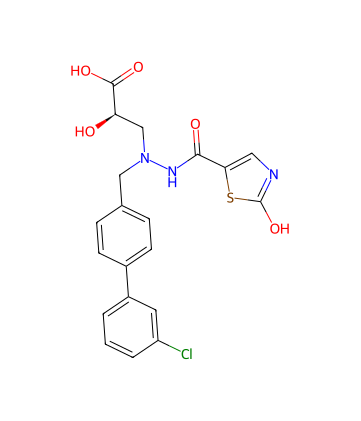 O=C(NN(Cc1ccc(-c2cccc(Cl)c2)cc1)C[C@@H](O)C(=O)O)c1cnc(O)s1